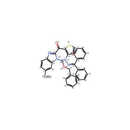 COc1ccc2nc(C(=O)c3sccc3NN=C(c3ccccc3)c3ccccc3)n(COCc3ccccc3)c2c1